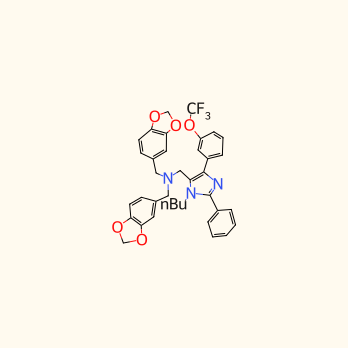 CCCCn1c(-c2ccccc2)nc(-c2cccc(OC(F)(F)F)c2)c1CN(Cc1ccc2c(c1)OCO2)Cc1ccc2c(c1)OCO2